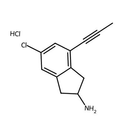 CC#Cc1cc(Cl)cc2c1CC(N)C2.Cl